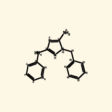 Nc1nc(Nc2cccnc2)nn1Cc1ccccc1